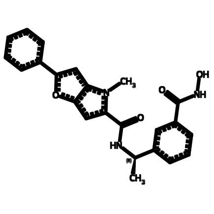 C[C@@H](NC(=O)c1cc2oc(-c3ccccc3)cc2n1C)c1cccc(C(=O)NO)c1